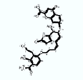 CCCc1c(OCC/C=C\C=C\[C@H](Sc2ccc3c(=O)cc(C(=O)O)oc3c2)[C@H](O)c2ccc(Cl)o2)ccc(C(C)=O)c1O